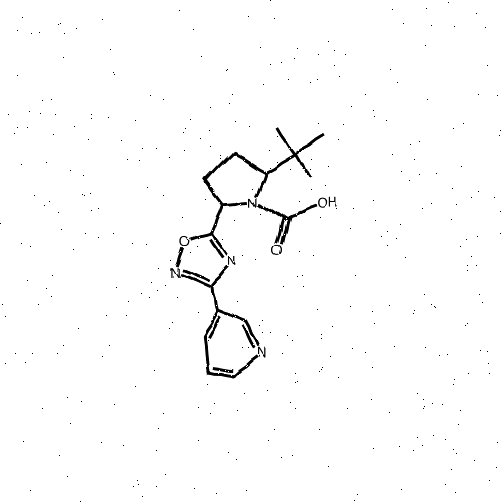 CC(C)(C)C1CCC(c2nc(-c3cccnc3)no2)N1C(=O)O